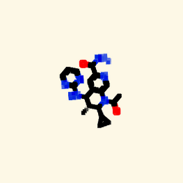 CC(=O)N1c2cnc(C(N)=O)cc2C(Nc2ncccn2)[C@@H](C)[C@@H]1C1CC1